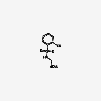 CCCCCCCCCNS(=O)(=O)c1ccccc1C#N